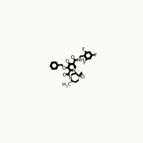 C[C@H]1CC[C@@]2(CO2)C2CN1C(=O)c1c(OCc3ccccc3)c(=O)c(C(=O)NCc3c(F)cc(F)cc3F)cn12